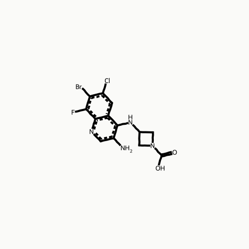 Nc1cnc2c(F)c(Br)c(Cl)cc2c1NC1CN(C(=O)O)C1